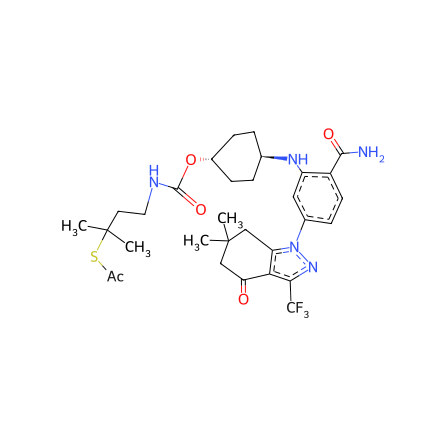 CC(=O)SC(C)(C)CCNC(=O)O[C@H]1CC[C@H](Nc2cc(-n3nc(C(F)(F)F)c4c3CC(C)(C)CC4=O)ccc2C(N)=O)CC1